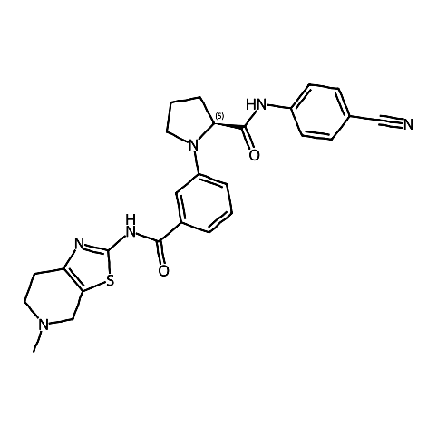 CN1CCc2nc(NC(=O)c3cccc(N4CCC[C@H]4C(=O)Nc4ccc(C#N)cc4)c3)sc2C1